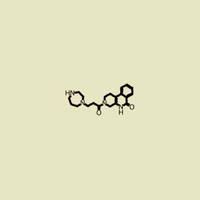 O=C(CCN1CCCNCC1)N1CCc2c([nH]c(=O)c3ccccc23)C1